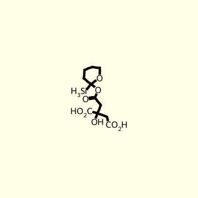 O=C(O)CC(O)(CC(=O)OC1([SiH3])CCCCO1)C(=O)O